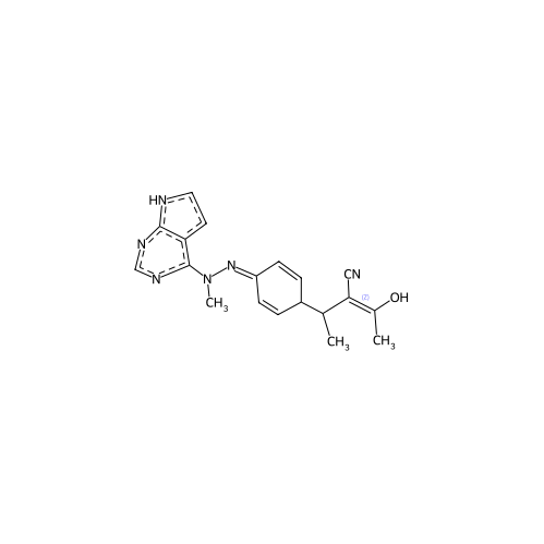 C/C(O)=C(/C#N)C(C)C1C=CC(=NN(C)c2ncnc3[nH]ccc23)C=C1